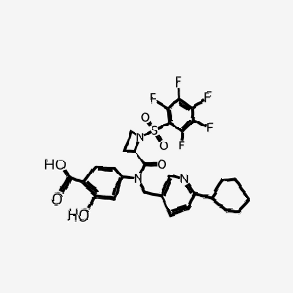 O=C(O)c1ccc(N(Cc2ccc(C3CCCCC3)nc2)C(=O)[C@H]2CCN2S(=O)(=O)c2c(F)c(F)c(F)c(F)c2F)cc1O